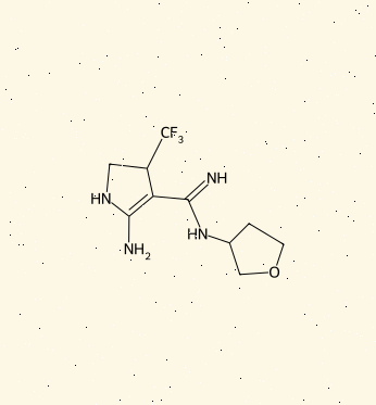 N=C(NC1CCOC1)C1=C(N)NCC1C(F)(F)F